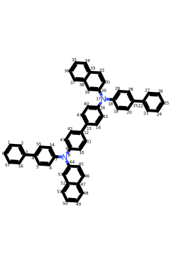 c1ccc(-c2ccc(N(c3ccc(-c4ccc(N(c5ccc(-c6ccccc6)cc5)c5ccc6ccccc6c5)cc4)cc3)c3ccc4ccccc4c3)cc2)cc1